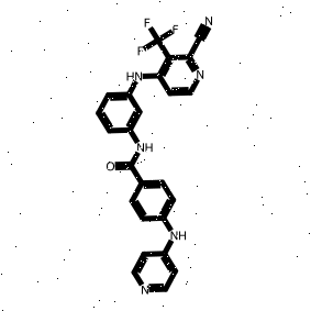 N#Cc1nccc(Nc2cccc(NC(=O)c3ccc(Nc4ccncc4)cc3)c2)c1C(F)(F)F